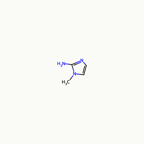 Cn1ccnc1N